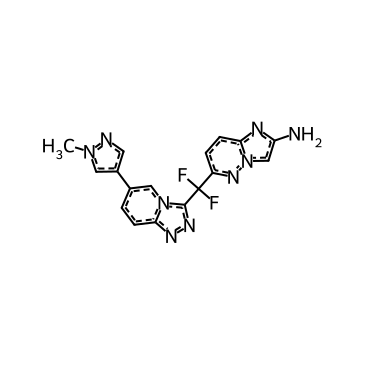 Cn1cc(-c2ccc3nnc(C(F)(F)c4ccc5nc(N)cn5n4)n3c2)cn1